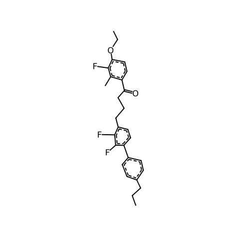 CCCc1ccc(-c2ccc(CCCC(=O)c3ccc(OCC)c(F)c3C)c(F)c2F)cc1